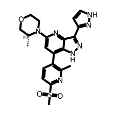 Cc1nc(S(C)(=O)=O)ccc1-c1cc(N2CCOC[C@H]2C)nc2c(-c3cc[nH]n3)n[nH]c12